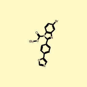 CC(C)(C)OC(=O)n1c(-c2ccc(-c3cnco3)cc2)nc2cc(Br)ccc21